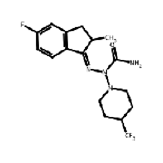 CC1Cc2cc(F)ccc2/C1=N/N(C(N)=O)N1CCC(C(F)(F)F)CC1